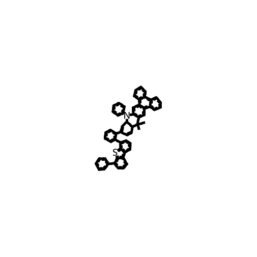 CC1(C)c2cc3c4ccccc4c4ccccc4c3cc2N(c2ccccc2)C2C=C(c3ccccc3-c3cccc4c3sc3c(-c5ccccc5)cccc34)C=CC21